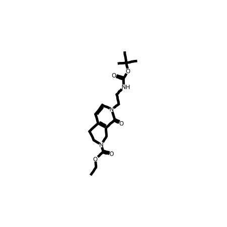 CCOC(=O)N1CCc2ccn(CCNC(=O)OC(C)(C)C)c(=O)c2C1